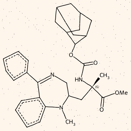 COC(=O)[C@](C)(CC1CN=C(c2ccccc2)c2ccccc2N1C)NC(=O)OC1C2CC3CC(C2)CC1C3